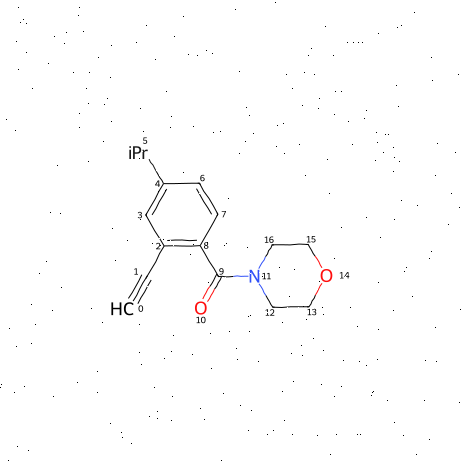 C#Cc1cc(C(C)C)ccc1C(=O)N1CCOCC1